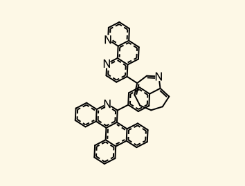 C1=N\C(c2ccc(-c3nc4ccccc4c4c5ccccc5c5ccccc5c34)cc2)=C\CCC\C=C/1c1ccnc2c1ccc1cccnc12